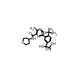 BC(B)(B)c1ccc(C(O)(C(C)O)C(F)(F)F)cc1-c1cnc(N)c(C(=O)NC2CCOCC2)n1